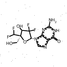 Nc1nc2c(ncn2[C@@H]2O[C@@](CO)(C(F)F)C(O)C2(F)F)c(=O)[nH]1